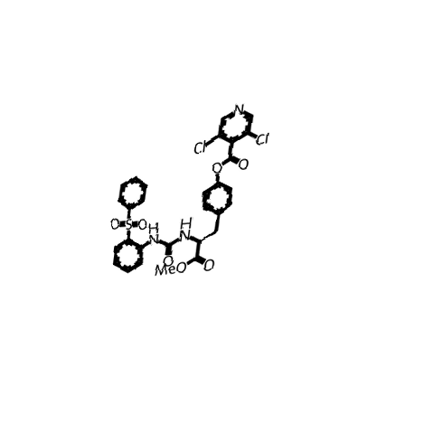 COC(=O)[C@H](Cc1ccc(OC(=O)c2c(Cl)cncc2Cl)cc1)NC(=O)Nc1ccccc1S(=O)(=O)c1ccccc1